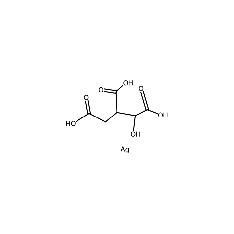 O=C(O)CC(C(=O)O)C(O)C(=O)O.[Ag]